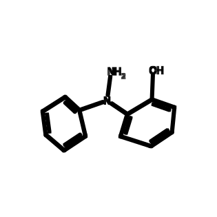 NN(c1ccccc1)c1ccccc1O